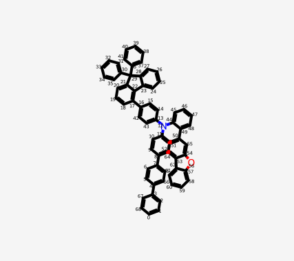 c1ccc(-c2ccc(-c3ccc(N(c4ccc(-c5cccc6c5-c5ccccc5C6(c5ccccc5)c5ccccc5)cc4)c4ccccc4-c4ccc5c(c4)oc4ccccc45)cc3)cc2)cc1